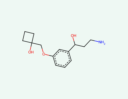 NCCC(O)c1cccc(OCC2(O)CCC2)c1